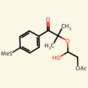 CSc1ccc(C(=O)C(C)(C)OC(O)COC(C)=O)cc1